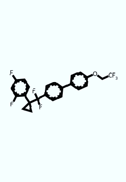 Fc1ccc(C2(C(F)(F)c3ccc(-c4ccc(OCC(F)(F)F)cc4)cc3)CC2)c(F)c1